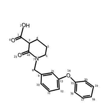 O=C(O)C1CCCN(Cc2cccc(Oc3ccccc3)c2)C1=O